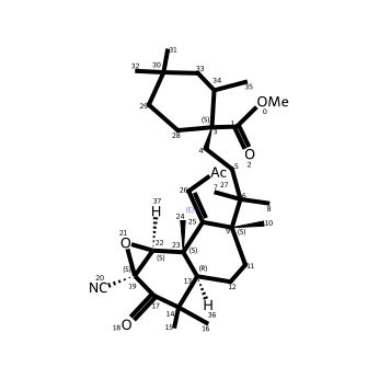 COC(=O)[C@]1(CCC(C)(C)[C@]2(C)CC[C@H]3C(C)(C)C(=O)[C@@]4(C#N)O[C@H]4[C@]3(C)/C2=C/C(C)=O)CCC(C)(C)CC1C